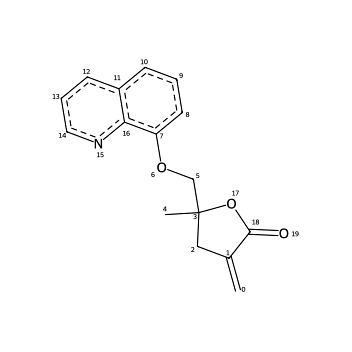 C=C1CC(C)(COc2cccc3cccnc23)OC1=O